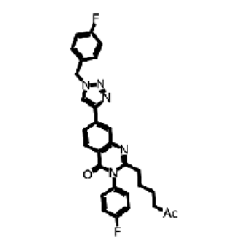 CC(=O)CCCCc1nc2cc(-c3cn(Cc4ccc(F)cc4)nn3)ccc2c(=O)n1-c1ccc(F)cc1